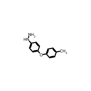 Cc1ccc(Oc2ccc(NN)cc2)cc1